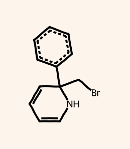 BrCC1(c2ccccc2)C=CC=CN1